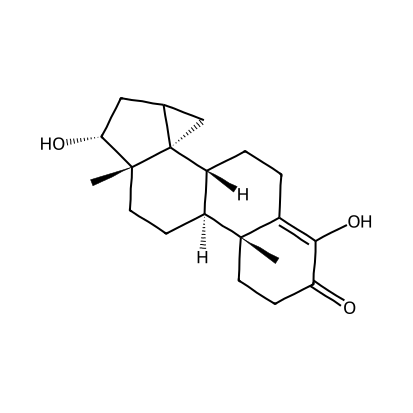 C[C@]12CCC(=O)C(O)=C1CC[C@@H]1[C@@H]2CC[C@]2(C)[C@H](O)CC3C[C@]312